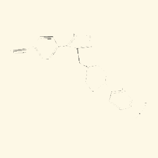 N#Cc1ccc(-c2n[nH]cc2CN2CCC(c3ccc(C(F)(F)F)cn3)CC2)cc1